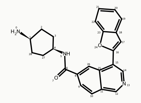 N[C@H]1CC[C@@H](NC(=O)c2ccc3cncc(-c4cc5ccccc5o4)c3c2)CC1